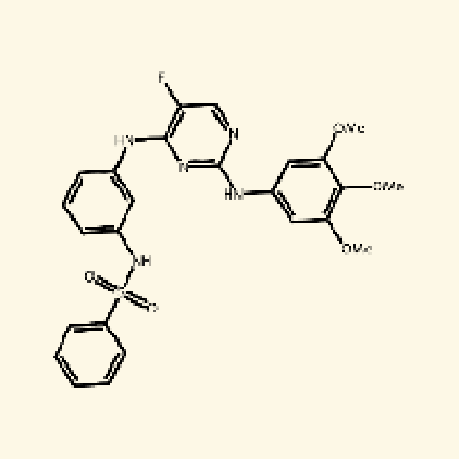 COc1cc(Nc2ncc(F)c(Nc3cccc(NS(=O)(=O)c4ccccc4)c3)n2)cc(OC)c1OC